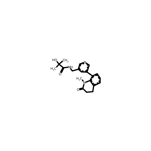 CN1C(=O)CCc2cccc(-c3cncc(CNC(=O)C(C)(C)O)c3)c21